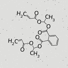 C=CC(=O)OC(C)OC(=O)c1ccccc1C(=O)OC(C)OC(=O)C=C